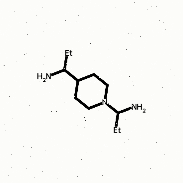 CCC(N)C1CCN(C(N)CC)CC1